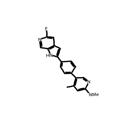 CNc1cc(C)c(-c2ccc(-c3cc4cc(F)ncc4[nH]3)cc2)cn1